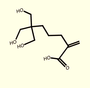 C=C(CCCC(CO)(CO)CO)C(=O)O